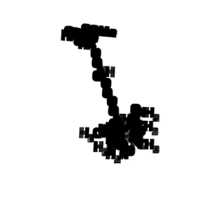 CCn1nc(C)cc1C(=O)N=c1n(C)c2cc(C(N)=O)ccc2n1CCC(CCn1c(=NC(=O)c2cc(C)nn2CC)n(C)c2cc(C(N)=O)ccc21)OCC(=O)NCCOCCOCCOCCOCCC(=O)NCCOCCOCCNc1ccc(OC)c2c1C(=O)N(C1CCC(=O)NC1=O)C2=O